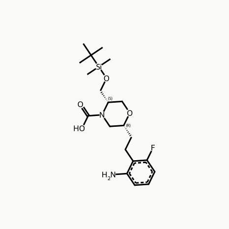 CC(C)(C)[Si](C)(C)OC[C@@H]1CO[C@H](CCc2c(N)cccc2F)CN1C(=O)O